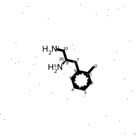 Cc1ccccc1C[C@@H](N)CN